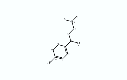 CCC(CCN(C)C)C1=CC=C(F)CC1